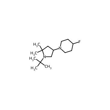 CC(C)(C)N1CC(N2CCC(F)CC2)CC1(C)C